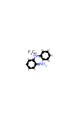 Nc1ccccc1N(c1ccccc1)C(F)(F)F